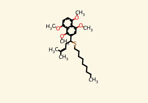 CCCCCCCCCSC(CC=C(C)C)c1cc(OC)c2c(OC)ccc(OC)c2c1OC